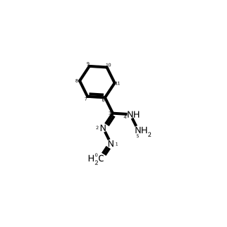 C=N/N=C(\NN)C1=CCCCC1